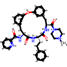 CN1CCN(C(=O)[C@@H]2Cc3cccc(c3)Oc3cccc(c3)C[C@H](NC(=O)c3ccccn3)C(=O)N[C@@H](CCc3ccccc3)C(=O)N2)CC1